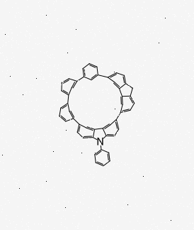 c1ccc(-n2c3ccc4cc3c3cc(ccc32)c2ccc3c(c2)c2cc(ccc2C3)c2cccc(c2)c2cccc(c2)c2cccc4c2)cc1